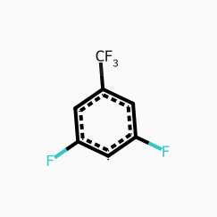 Fc1[c]c(F)cc(C(F)(F)F)c1